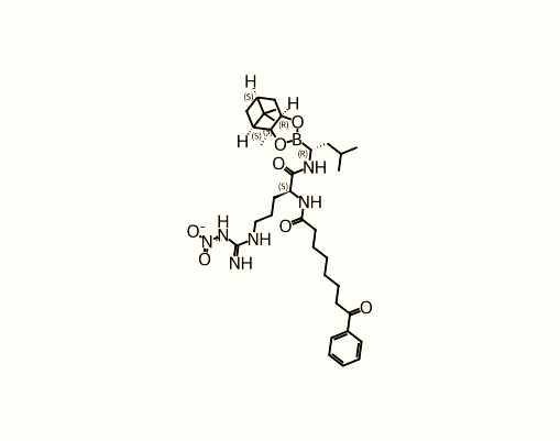 CC(C)C[C@H](NC(=O)[C@H](CCCNC(=N)N[N+](=O)[O-])NC(=O)CCCCCCC(=O)c1ccccc1)B1O[C@@H]2C[C@@H]3C[C@@H](C3(C)C)[C@]2(C)O1